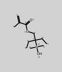 C=C(C)C(=O)OCC(CC)(CC)[Si](C)(C)O